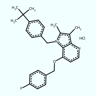 Cc1c(C)n(Cc2ccc(C(C)(C)C)cc2)c2c(OCc3ccc(F)cc3)ccnc12.Cl